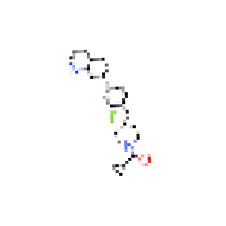 O=C(C1CC1)N1CCC(F)(Cc2ccc(-c3ccc4cccnc4c3)cc2)CC1